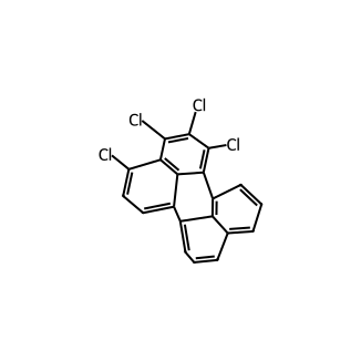 Clc1c(Cl)c2c(Cl)ccc3c4cccc5cccc(c(c1Cl)c23)c54